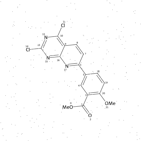 COC(=O)c1cc(-c2ccc3c(Cl)nc(Cl)nc3n2)ccc1OC